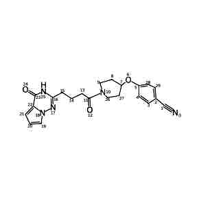 N#Cc1ccc(OC2CCN(C(=O)CCCc3nn4cccc4c(=O)[nH]3)CC2)cc1